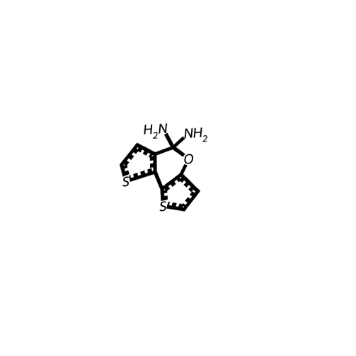 NC1(N)Oc2ccsc2-c2sccc21